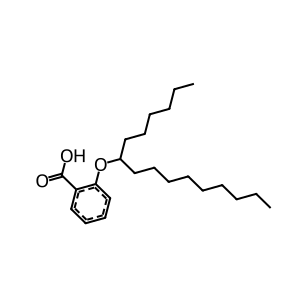 CCCCCCCCCC(CCCCCC)Oc1ccccc1C(=O)O